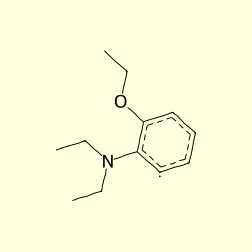 CCOc1ccc[c]c1N(CC)CC